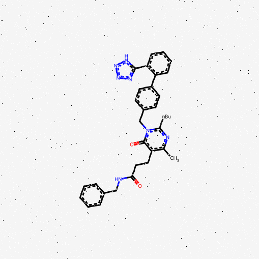 CCCCc1nc(C)c(CCC(=O)NCc2ccccc2)c(=O)n1Cc1ccc(-c2ccccc2-c2nnn[nH]2)cc1